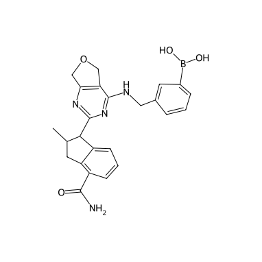 CC1Cc2c(C(N)=O)cccc2C1c1nc2c(c(NCc3cccc(B(O)O)c3)n1)COC2